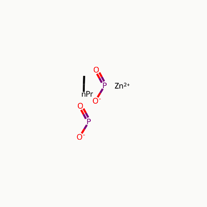 CCCC.O=P[O-].O=P[O-].[Zn+2]